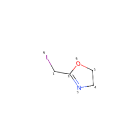 ICC1=NCCO1